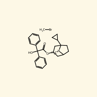 CBr.CN1C2CCC1(C1CC1)CC(OC(=O)C(O)(c1ccccc1)c1ccccc1)C2